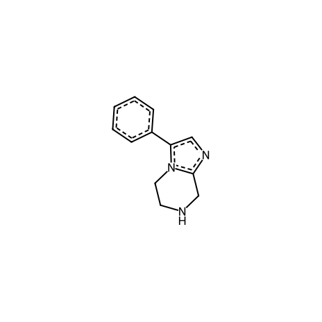 c1ccc(-c2cnc3n2CCNC3)cc1